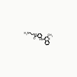 Cc1cc(Nc2cccc(C(=O)NCCN)c2)c2ccccc2n1